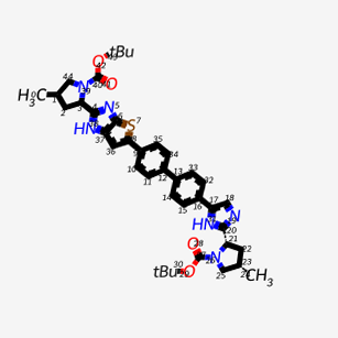 CC1CC(c2nc3sc(-c4ccc(-c5ccc(-c6cnc([C@@H]7C[C@H](C)CN7C(=O)OC(C)(C)C)[nH]6)cc5)cc4)cc3[nH]2)N(C(=O)OC(C)(C)C)C1